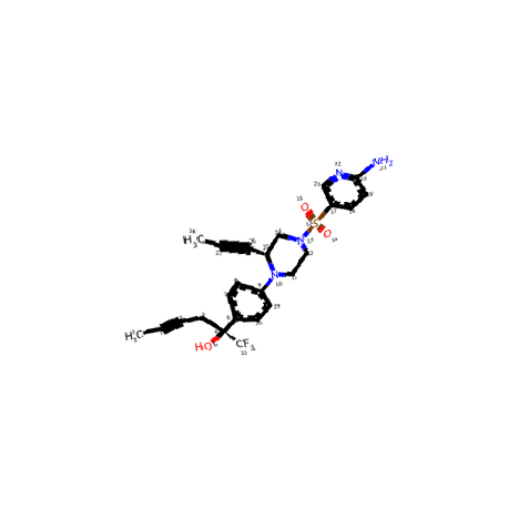 CC#CC[C@@](O)(c1ccc(N2CCN(S(=O)(=O)c3ccc(N)nc3)C[C@@H]2C#CC)cc1)C(F)(F)F